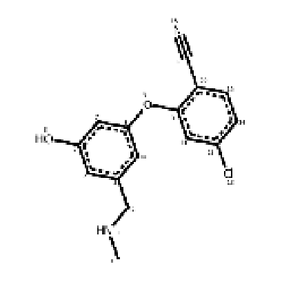 CNCc1cc(O)cc(Oc2cc(Cl)ccc2C#N)c1